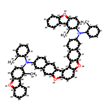 Cc1ccccc1N(c1ccc2cc3c(cc2c1)oc1ccc2oc4cc5cc(N(c6ccccc6C)c6ccc7oc8ccccc8c7c6C)ccc5cc4c2c13)c1ccc2oc3ccccc3c2c1C